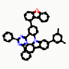 Cc1cc(C)cc(-c2ccc3c4ccccc4n(-c4ccc(-c5cccc6oc7ccccc7c56)cc4-c4nc(-c5ccccc5)nc(-c5ccccc5)n4)c3c2)c1